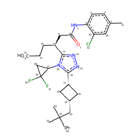 Cc1ccc(NC(=O)C[C@H](CCC(=O)O)c2nnc([C@H]3C[C@@H](CC(C)(C)C(C)C)C3)n2C2CC2(F)F)c(Cl)c1